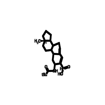 CC(C)(C)C(=O)NC1CC2C(=CCC3C2CC[C@]2(C)CCCC32)C=C1[PH](=O)O